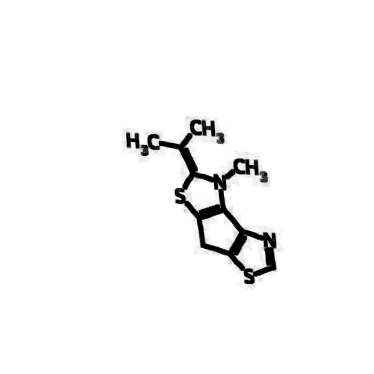 CC(C)=C1SC2=C(c3ncsc3C2)N1C